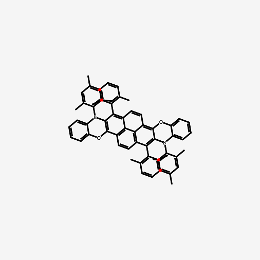 Cc1cc(C)c(B2c3ccccc3Oc3c2c(-c2c(C)cccc2C)c2ccc4c5c(c(-c6c(C)cccc6C)c6ccc3c2c46)B(c2c(C)cc(C)cc2C)c2ccccc2O5)c(C)c1